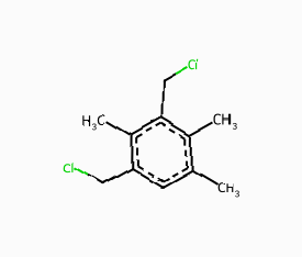 Cc1cc(CCl)c(C)c(CCl)c1C